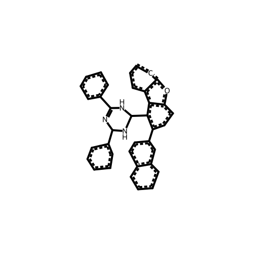 c1ccc(C2=NC(c3ccccc3)NC(c3c(-c4ccc5ccccc5c4)ccc4oc5ccccc5c34)N2)cc1